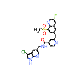 CS(=O)(=O)c1cc(Cc2cc(C(=O)NCc3cnc4[nH]cc(Cl)c4c3)ccn2)cc2cc(F)cnc12